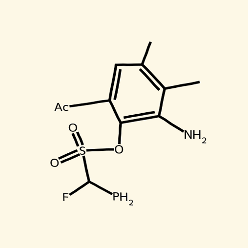 CC(=O)c1cc(C)c(C)c(N)c1OS(=O)(=O)C(F)P